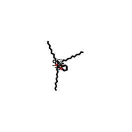 CCCCCCCCCC[Si](C)(C)[Si](c1ccccc1)([Si](C)(C)CCCCCCCCCC)[Si](C)(C)CCCCCCCCCC